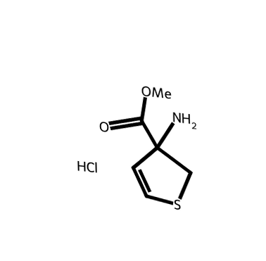 COC(=O)C1(N)C=CSC1.Cl